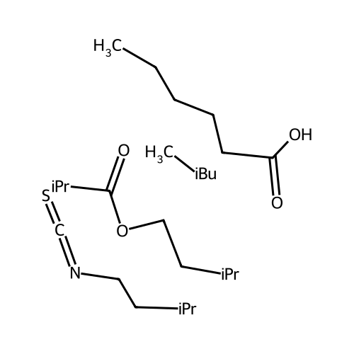 CC(C)CCN=C=S.CC(C)CCOC(=O)C(C)C.CCCCCC(=O)O.[CH2]CC(C)C